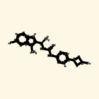 Cc1c([C@H](NC(=O)Nc2cnc(N3CC(F)C3)nc2)C(F)(F)F)oc2ccc(F)cc12